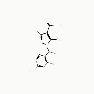 CCc1nn(C(C)c2ccc(C(F)(F)F)cc2F)c(N)c1C(N)=O